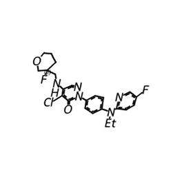 CCN(c1ccc(-n2ncc(NC[C@@]3(F)CCCOC3)c(Cl)c2=O)cc1)c1ccc(F)cn1